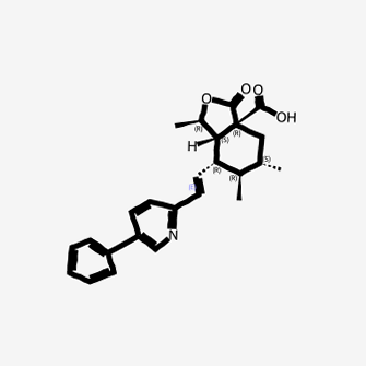 C[C@H]1[C@H](/C=C/c2ccc(-c3ccccc3)cn2)[C@@H]2[C@@H](C)OC(=O)[C@]2(C(=O)O)C[C@@H]1C